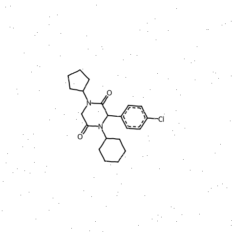 O=C1C(c2ccc(Cl)cc2)N(C2CCCCC2)C(=O)CN1C1CCCC1